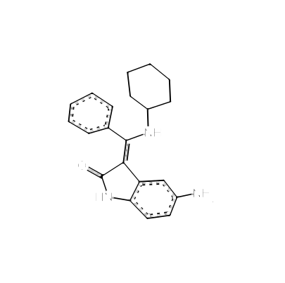 Nc1ccc2c(c1)C(=C(NC1CCCCC1)c1ccccc1)C(=O)N2